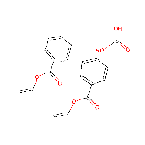 C=COC(=O)c1ccccc1.C=COC(=O)c1ccccc1.O=C(O)O